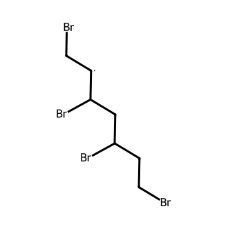 BrC[CH]C(Br)CC(Br)CCBr